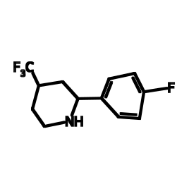 Fc1ccc(C2CC(C(F)(F)F)CCN2)cc1